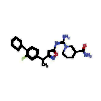 CC(c1ccc(-c2ccccc2)c(F)c1)c1cc(/N=C(/N)N2CCCC(C(N)=O)C2)on1